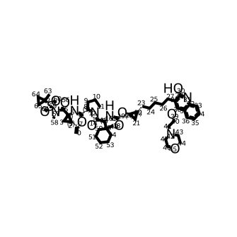 C=C[C@@H]1C[C@]1(NC(=O)[C@@H]1CCCN1C(=O)[C@@H](NC(=O)O[C@@H]1C[C@H]1CCCCCc1c(O)nc2ccccc2c1OCCN1CCOCC1)C1(C)CCCCC1)C(=O)N(C)S(=O)(=O)C1(C)CC1